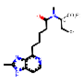 CCOC(=O)[C@H](CC(C)C)N(C)C(=O)CCCCc1nccc2[nH]c(C)nc12